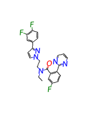 CCN(CCn1ccc(-c2ccc(F)c(F)c2)n1)C(=O)c1cc(F)ccc1-c1ncccn1